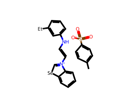 CCc1cccc(NC=C[n+]2c[se]c3ccccc32)c1.Cc1ccc(S(=O)(=O)[O-])cc1